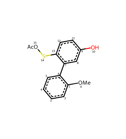 COc1ccccc1-c1cc(O)ccc1SOC(C)=O